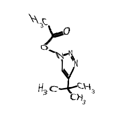 CC(=O)On1cc(C(C)(C)C)nn1